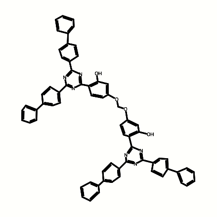 Oc1cc(OCOc2ccc(-c3nc(-c4ccc(-c5ccccc5)cc4)nc(-c4ccc(-c5ccccc5)cc4)n3)c(O)c2)ccc1-c1nc(-c2ccc(-c3ccccc3)cc2)nc(-c2ccc(-c3ccccc3)cc2)n1